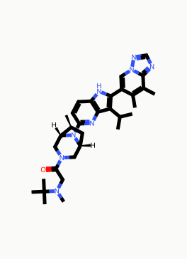 Cc1c(-c2[nH]c3ccc(N4[C@@H]5C[C@H](C)[C@H]4CN(C(=O)CN(C)C(C)(C)C)C5)nc3c2C(C)C)cn2ncnc2c1C